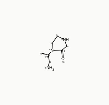 C[C@H](CN)N1CCNCC1=O